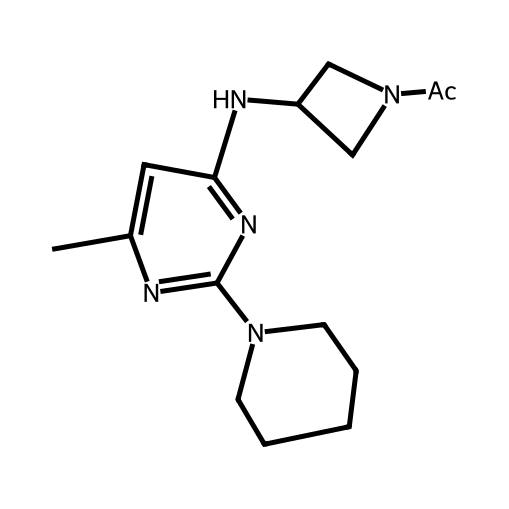 CC(=O)N1CC(Nc2cc(C)nc(N3CCCCC3)n2)C1